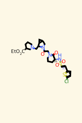 CCOC(=O)C1CCCN(CC2C3CC3CN2C(=O)CN2CCC[C@H](NS(=O)(=O)/C=C/c3ccc(Cl)s3)C2=O)C1